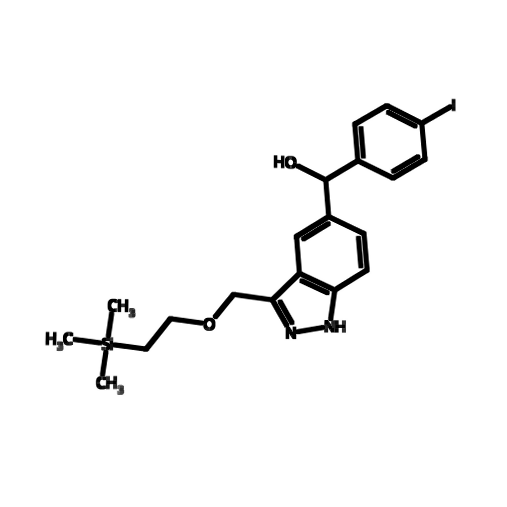 C[Si](C)(C)CCOCc1n[nH]c2ccc(C(O)c3ccc(I)cc3)cc12